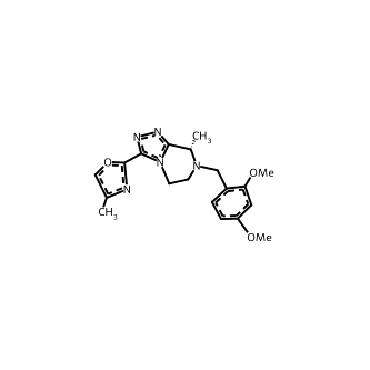 COc1ccc(CN2CCn3c(-c4nc(C)co4)nnc3[C@@H]2C)c(OC)c1